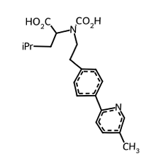 Cc1ccc(-c2ccc(CCN(C(=O)O)C(CC(C)C)C(=O)O)cc2)nc1